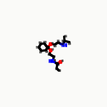 CCC(=O)NCCOC1(OCCNC(C)C)CCCCC1